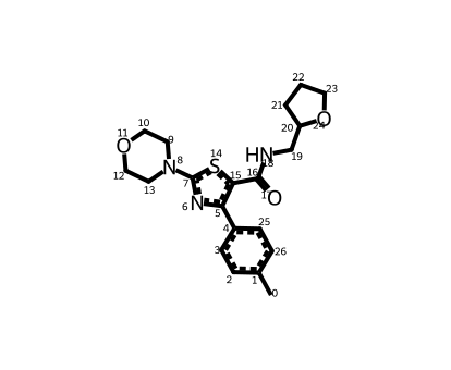 Cc1ccc(-c2nc(N3CCOCC3)sc2C(=O)NCC2CCCO2)cc1